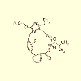 CCOc1nc(CC)c2n1Cc1ccc(cc1F)-c1ccccc1C(=O)S[C@@H](CC(C)C)C(=O)NC2